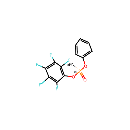 C[CH]C[P@@](=O)(Oc1ccccc1)Oc1c(F)c(F)c(F)c(F)c1F